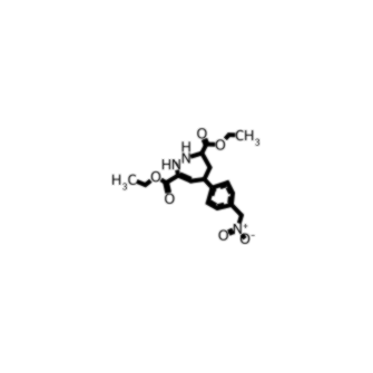 CCOC(=O)C1=CC(c2ccc(C[N+](=O)[O-])cc2)CC(C(=O)OCC)NN1